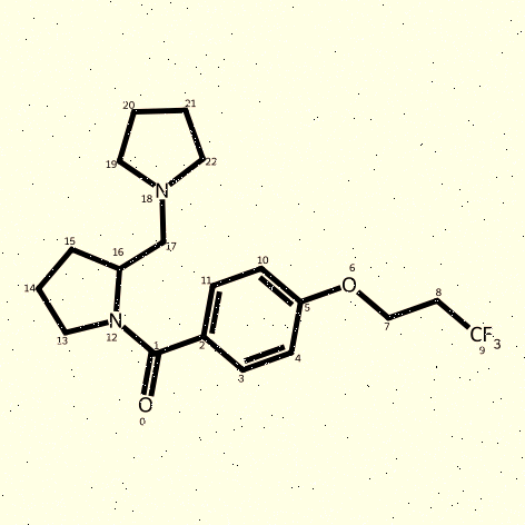 O=C(c1ccc(OCCC(F)(F)F)cc1)N1CCCC1CN1CCCC1